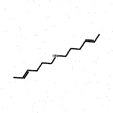 CC=CCCCNCCCC=CC